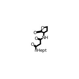 CCCCCCCC(=O)CC(=O)NC1CCOC1=O